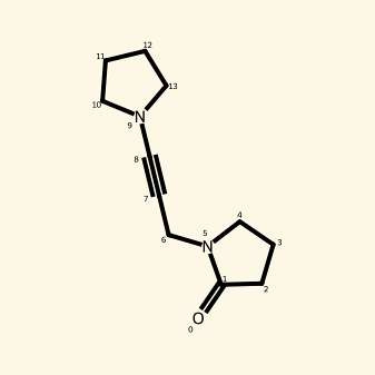 O=C1CCCN1CC#CN1CCCC1